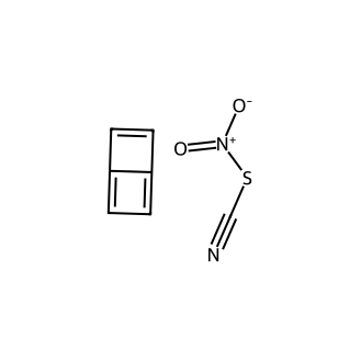 N#CS[N+](=O)[O-].c1cc2ccc1-2